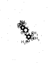 COc1cc2c(cc1S(N)(=O)=O)CCCN(Cc1cc(OC)c(OC)c(OC)c1)C2=O